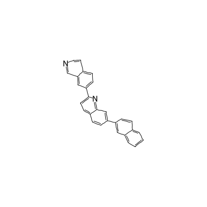 c1ccc2cc(-c3ccc4ccc(-c5ccc6ccncc6c5)nc4c3)ccc2c1